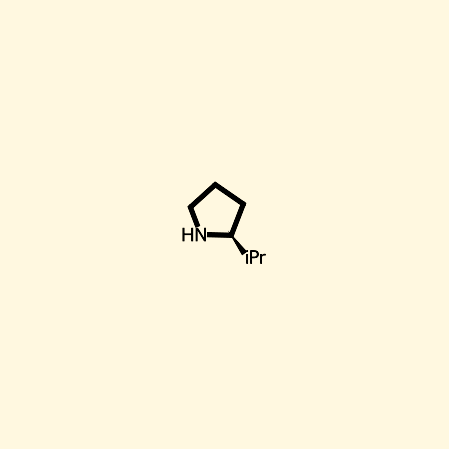 CC(C)[C@@H]1CCCN1